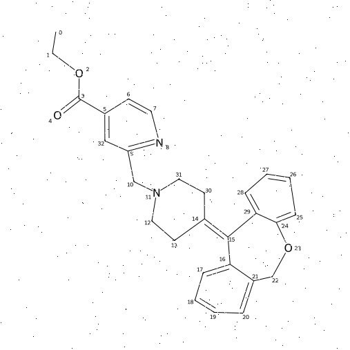 CCOC(=O)c1ccnc(CN2CCC(=C3c4ccccc4COc4ccccc43)CC2)c1